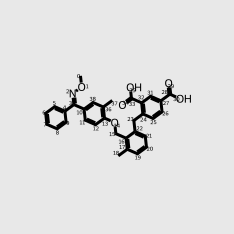 CON=C(c1ccccc1)c1ccc(OCc2c(C)cccc2Cc2ccc(C(=O)O)cc2C(=O)O)c(C)c1